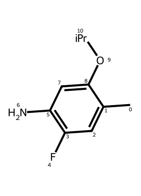 Cc1cc(F)c(N)cc1OC(C)C